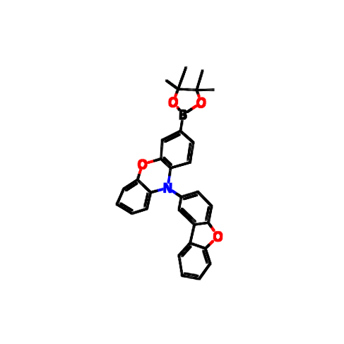 CC1(C)OB(c2ccc3c(c2)Oc2ccccc2N3c2ccc3oc4ccccc4c3c2)OC1(C)C